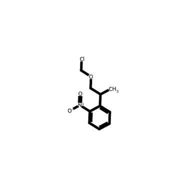 CC(COCCl)c1ccccc1[N+](=O)[O-]